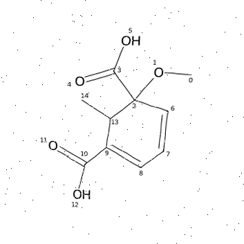 COC1(C(=O)O)C=CC=C(C(=O)O)C1C